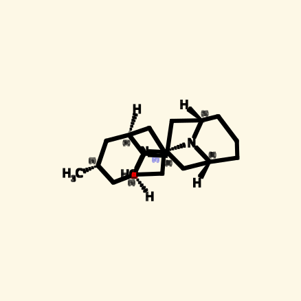 C[C@@H]1C[C@@H]2C[C@H](C1)C[C@@H](N1[C@@H]3CCC[C@H]1C/C(=N/O)C3)C2